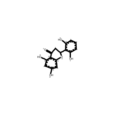 O=C1CC(c2c(O)cccc2O)Oc2cc(O)cc(O)c21